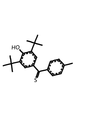 Cc1ccc(C(=S)c2cc(C(C)(C)C)c(O)c(C(C)(C)C)c2)cc1